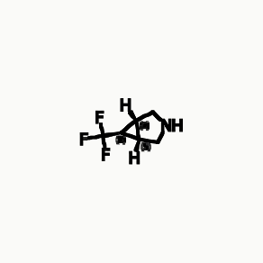 FC(F)(F)[C@H]1[C@@H]2CNC[C@@H]21